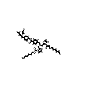 CCCCCCCOC(=O)n1ccnc1CN(Cc1ccc(C(=O)Nc2ccc(CN(CCC)CCC)cc2)cc1)Cc1nccn1C(=O)COCCCCCC